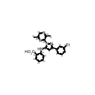 CCc1cccc(-c2cc(Nc3ccccc3C(=O)O)n(-c3nc(C)cnc3C)n2)c1